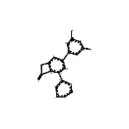 C=C1Cc2cc(-c3cc(C)cc(C)c3)cc(-c3ccccn3)c21